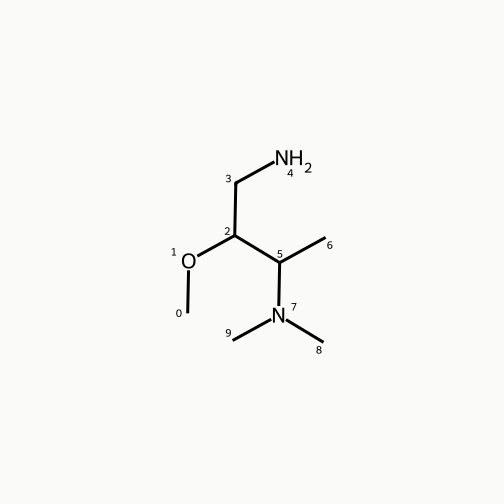 COC(CN)C(C)N(C)C